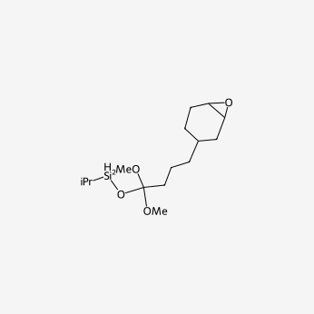 COC(CCCC1CCC2OC2C1)(OC)O[SiH2]C(C)C